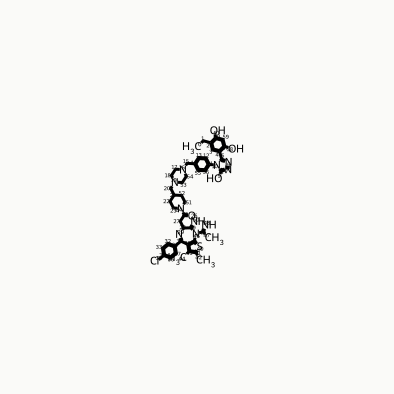 CCc1cc(-c2nnc(O)n2-c2ccc(CN3CCN(CC4CCN(C(=O)CC5N=C(c6ccc(Cl)cc6)c6c(sc(C)c6C)N(C(C)=N)C5=N)CC4)CC3)cc2)c(O)cc1O